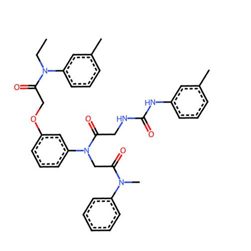 CCN(C(=O)COc1cccc(N(CC(=O)N(C)c2ccccc2)C(=O)CNC(=O)Nc2cccc(C)c2)c1)c1cccc(C)c1